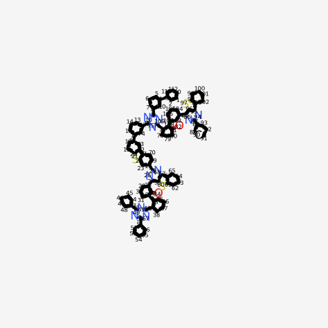 c1ccc(-c2cccc(-c3nc(-c4cccc(-c5ccc6sc7cc(-c8nc(-c9cccc%10c9oc9cccc(-c%11nc(-c%12ccccc%12)nc(-c%12ccccc%12)n%11)c9%10)c9sc%10ccccc%10c9n8)ccc7c6c5)c4)nc(-c4cccc5oc6c(-c7nc(-c8ccccc8)nc8c7sc7ccccc78)cccc6c45)n3)c2)cc1